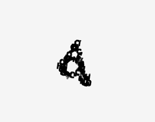 C[C@@H]1[C@@H](C)CCC[C@H](CN2CCN3CCOC[C@@H]3C2)[C@@H]2CC[C@H]2CN2CCCCc3cc(Cl)ccc3COc3ccc(cc32)C(=O)NS1(=O)=O